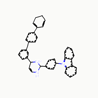 C1=CC(c2ccc(-c3cccc(C4C=CNC(c5ccc(-n6c7ccccc7c7ccccc76)cc5)N4)c3)cc2)=CCC1